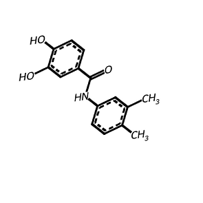 Cc1ccc(NC(=O)c2ccc(O)c(O)c2)cc1C